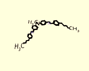 CCCCCc1ccc(/C=C/c2ccc(N(C)c3ccc(/C=C/c4ccc(CCCCC)cc4)cc3)cc2)cc1